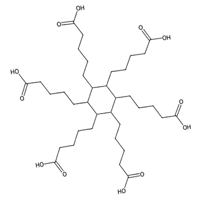 O=C(O)CCCCC1C(CCCCC(=O)O)C(CCCCC(=O)O)C(CCCCC(=O)O)C(CCCCC(=O)O)C1CCCCC(=O)O